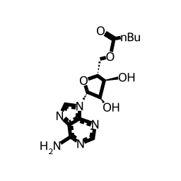 CCCCC(=O)OC[C@H]1O[C@@H](n2cnc3c(N)ncnc32)[C@@H](O)[C@@H]1O